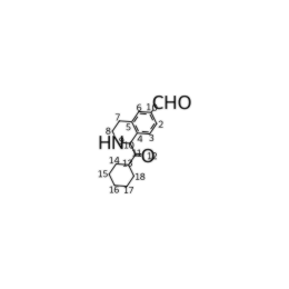 O=Cc1ccc2c(c1)CCNC2C(=O)C1CCCCC1